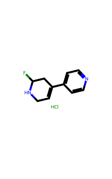 Cl.FC1CC(c2ccncc2)=CCN1